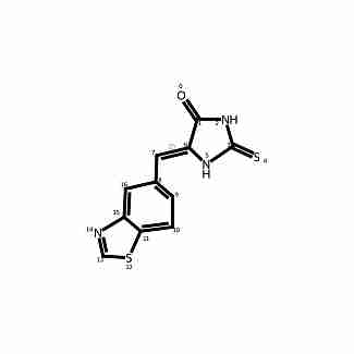 O=C1NC(=S)N/C1=C\c1ccc2scnc2c1